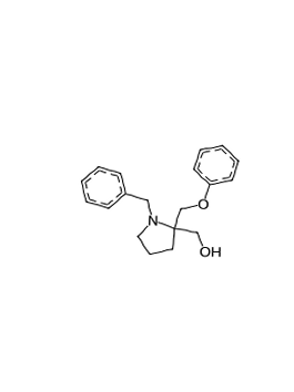 OCC1(COc2ccccc2)CCCN1Cc1ccccc1